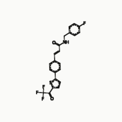 O=C(C=Cc1ccc(-c2ccc(C(=O)C(F)(F)F)s2)cc1)NCc1ccc(F)cc1